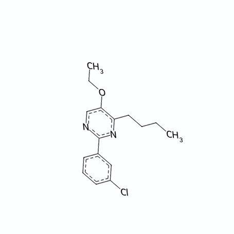 CCCCc1nc(-c2cccc(Cl)c2)ncc1OCC